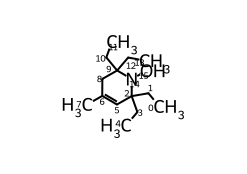 CCC1(CC)C=C(C)CC(CC)(CC)N1O